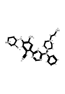 Cc1cc(-c2ncnc(N(c3ccccc3)N3CCN(CCO)CC3)n2)c(C#N)cc1O[C@H]1CCNC[C@@H]1F